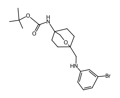 CC(C)(C)OC(=O)NC12CCC(CNc3cccc(Br)c3)(CC1)OC2